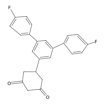 O=C1CC(=O)CC(c2cc(-c3ccc(F)cc3)cc(-c3ccc(F)cc3)c2)C1